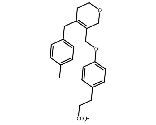 Cc1ccc(CC2=C(COc3ccc(CCC(=O)O)cc3)COCC2)cc1